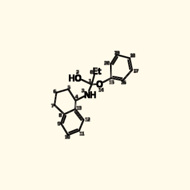 CCC(O)(NC1CCCc2ccccc21)Oc1ccccc1